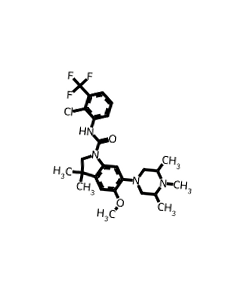 COc1cc2c(cc1N1CC(C)N(C)C(C)C1)N(C(=O)Nc1cccc(C(F)(F)F)c1Cl)CC2(C)C